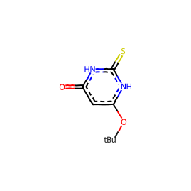 CC(C)(C)Oc1cc(=O)[nH]c(=S)[nH]1